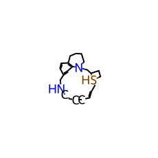 C1=CC[SH]2CCC2CN2CCCCc3ccc(cc32)CNCCCC1